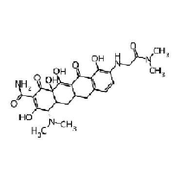 CN(C)C(=O)CNc1ccc2c(c1O)C(=O)C1=C(O)C3(O)C(=O)C(C(N)=O)=C(O)[C@@H](N(C)C)C3CC1C2